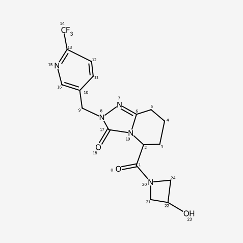 O=C(C1CCCc2nn(Cc3ccc(C(F)(F)F)nc3)c(=O)n21)N1CC(O)C1